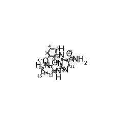 COc1cccc(Nc2nc(N[C@H](CC3CC3)C(N)=O)ncc2C(N)=O)c1